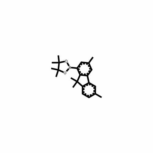 Cc1ccc2c(c1)-c1cc(C)cc(B3OC(C)(C)C(C)(C)O3)c1C2(C)C